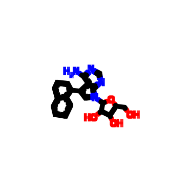 Nc1ncnc2c1c(-c1cccc3ccccc13)cn2C1OC(CO)C(O)C1O